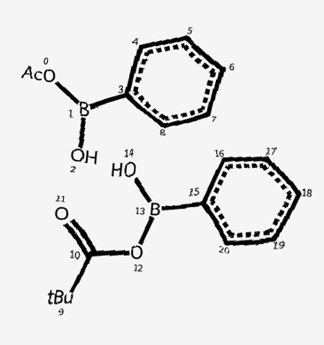 CC(=O)OB(O)c1ccccc1.CC(C)(C)C(=O)OB(O)c1ccccc1